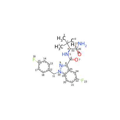 CC(C)(C)[C@H](NC(=O)c1nn(Cc2ccc(F)cc2)c2ccc(F)cc12)C(N)=O